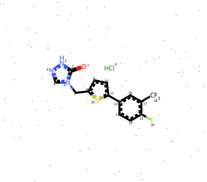 Cl.O=c1[nH]ncn1Cc1ccc(-c2ccc(F)c(C(F)(F)F)c2)s1